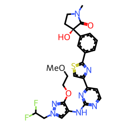 COCCOc1nn(CC(F)F)cc1Nc1nccc(-c2csc(-c3cccc([C@]4(O)CCN(C)C4=O)c3)n2)n1